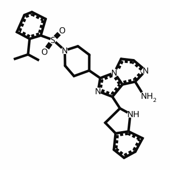 CC(C)c1ccccc1S(=O)(=O)N1CCC(c2nc(C3Cc4ccccc4N3)c3c(N)nccn23)CC1